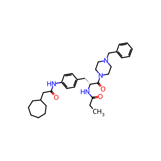 CCC(=O)N[C@H](Cc1ccc(NC(=O)CC2CCCCCC2)cc1)C(=O)N1CCN(Cc2ccccc2)CC1